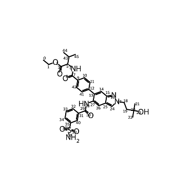 CCOC(=O)[C@H](NC(=O)c1ccc(-c2cc3nn(CCC(C)(C)O)cc3cc2NC(=O)c2cccc(S(N)(=O)=O)c2)cc1)C(C)C